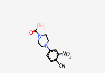 BC(=O)N1CCN(c2ccc(C#N)c([N+](=O)[O-])c2)CC1